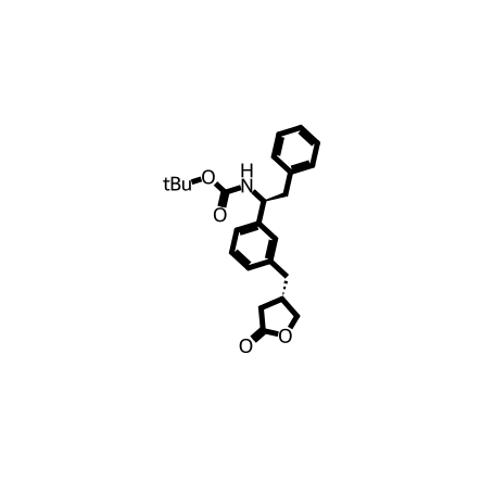 CC(C)(C)OC(=O)N[C@@H](Cc1ccccc1)c1cccc(C[C@@H]2COC(=O)C2)c1